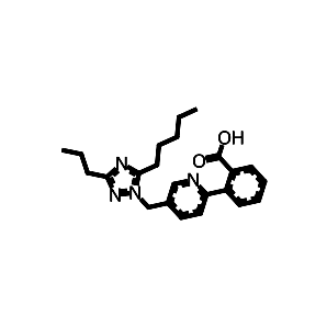 CCCCCc1nc(CCC)nn1Cc1ccc(-c2ccccc2C(=O)O)nc1